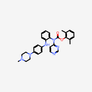 Cc1cccc(C)c1OC(=O)N(c1ccncn1)c1ccccc1Nc1ccc(N2CCN(C)CC2)cc1